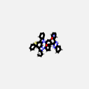 N#Cc1cc(-n2c3ccccc3c3c4sc5ccccc5c4c4c5ccccc5n(-c5ccccc5)c4c32)ccc1-c1nc2ccccc2nc1-c1ccccc1